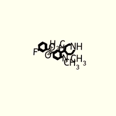 CC1CNCC(C)[C@H]2c3cc(S(=O)(=O)c4cccc(F)c4)ccc3N(C)C12